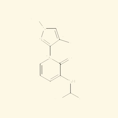 CC(C)Nc1cccn(-c2nn(C)cc2F)c1=O